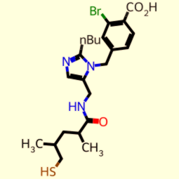 CCCCc1ncc(CNC(=O)C(C)CC(C)CS)n1Cc1ccc(C(=O)O)c(Br)c1